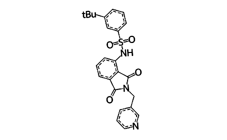 CC(C)(C)c1cccc(S(=O)(=O)Nc2cccc3c2C(=O)N(Cc2cccnc2)C3=O)c1